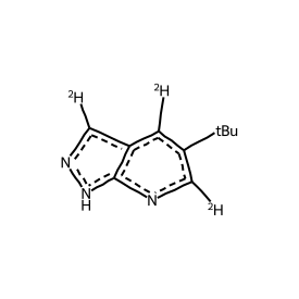 [2H]c1nc2[nH]nc([2H])c2c([2H])c1C(C)(C)C